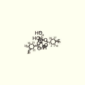 Cc1cc(C2O[C@H]([C@H](O)CO)[C@@H]3OC(c4ccc(C)c(F)c4)OC[C@@H]3O2)ccc1F